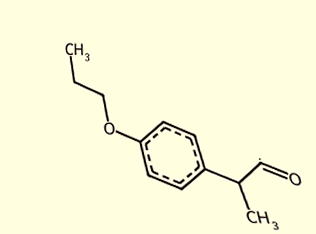 CCCOc1ccc(C(C)[C]=O)cc1